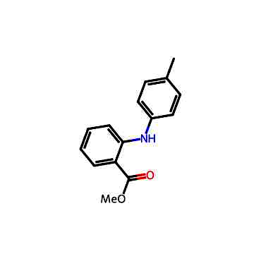 COC(=O)c1ccccc1Nc1ccc(C)cc1